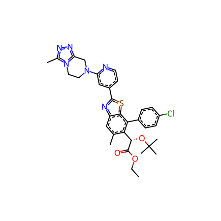 CCOC(=O)[C@@H](OC(C)(C)C)c1c(C)cc2nc(-c3ccnc(N4CCn5c(C)nnc5C4)c3)sc2c1-c1ccc(Cl)cc1